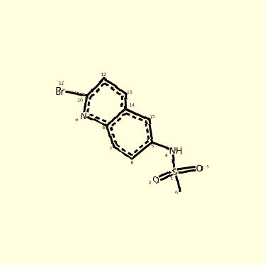 CS(=O)(=O)Nc1ccc2nc(Br)ccc2c1